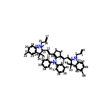 C=CCN1/C(=C/C=C2\CCC(/C=C/C3=[N+](CC=C)c4ccc(C)cc4C3(C)C)=C2N(c2ccccc2)c2ccccc2)C(C)(C)c2cc(C)ccc21